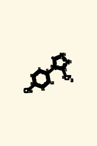 FC(F)(F)c1nncn1-c1ccc(Cl)cc1